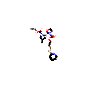 CC1C[C@@H](C2OCCN2C(=O)OCCSSc2ccccn2)N(C(=O)OC(C)(C)C)C1